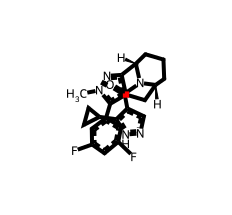 Cn1nc2c(c1-c1cc(F)cc(F)c1)C[C@H]1CCC[C@@H]2N1C(=O)c1cn[nH]c1C1CC1